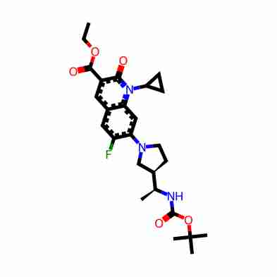 CCOC(=O)c1cc2cc(F)c(N3CC[C@@H]([C@H](C)NC(=O)OC(C)(C)C)C3)cc2n(C2CC2)c1=O